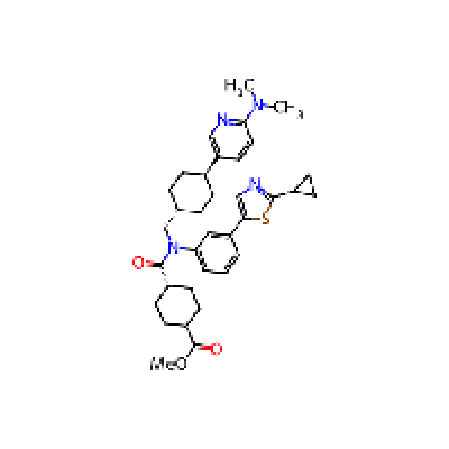 COC(=O)[C@H]1CC[C@H](C(=O)N(C[C@H]2CC[C@H](c3ccc(N(C)C)nc3)CC2)c2cccc(-c3cnc(C4CC4)s3)c2)CC1